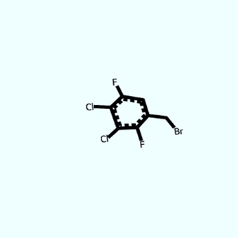 Fc1cc(CBr)c(F)c(Cl)c1Cl